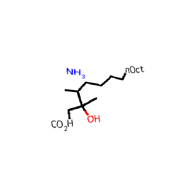 CCCCCCCCCCCCC(C)C(C)(O)CC(=O)O.N